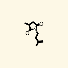 C=C(C)CCN1C(=O)CC(C)C1=O